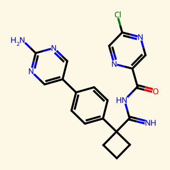 N=C(NC(=O)c1cnc(Cl)cn1)C1(c2ccc(-c3cnc(N)nc3)cc2)CCC1